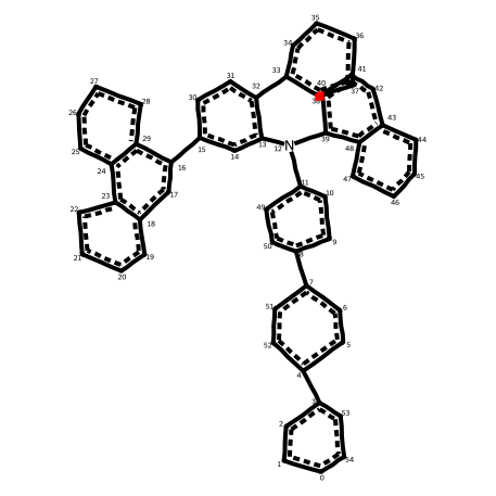 c1ccc(-c2ccc(-c3ccc(N(c4cc(-c5cc6ccccc6c6ccccc56)ccc4-c4ccccc4)c4cccc5ccccc45)cc3)cc2)cc1